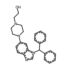 OCCN1CCN(c2ccc3ncn(C(c4ccccc4)c4ccccc4)c3c2)CC1